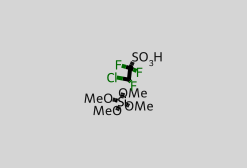 CO[Si](OC)(OC)OC.O=S(=O)(O)C(F)(F)C(F)Cl